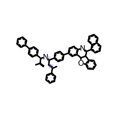 C=C(C)C(/N=C(\C=C(/C)c1ccccc1)c1ccc(-c2ccc3c(c2)C2Oc4ccccc4C2C(c2cccc4ccccc24)=N3)cc1)c1ccc(-c2ccccc2)cc1